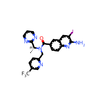 C[C@H](c1ncccn1)N(Cc1ccc(C(F)(F)F)cn1)C(=O)c1ccc2nc(N)c(I)cc2c1